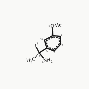 COc1cccc([C@@](C)(N)I)c1